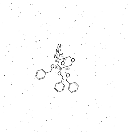 [N-]=[N+]=N[C@@H]1[C@@H](OCc2ccccc2)[C@@H](OCc2ccccc2)[C@]2(COCc3ccccc3)COC[C@H]1O2